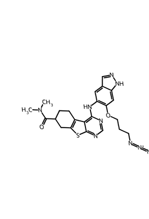 CN(C)C(=O)C1CCc2c(sc3ncnc(Nc4cc5cn[nH]c5cc4OCCCN=[N+]=[N-])c23)C1